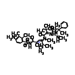 CN[C@H](C(=O)N[C@H](C(=O)N(C)[C@H](/C=C(\C)C(=O)NS(=O)(=O)c1ccc(N)c(C)c1C)C(C)C)C(C)(C)C)C(C)(C)c1ccccc1